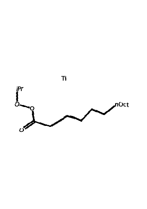 CCCCCCCCCCCCCC(=O)OOC(C)C.[Ti]